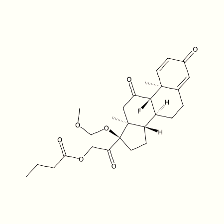 CCCC(=O)OCC(=O)[C@@]1(OCOC)CC[C@H]2[C@@H]3CCC4=CC(=O)C=C[C@]4(C)[C@@]3(F)C(=O)C[C@@]21C